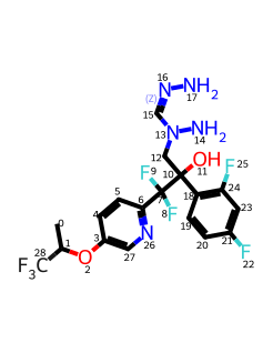 CC(Oc1ccc(C(F)(F)C(O)(CN(N)/C=N\N)c2ccc(F)cc2F)nc1)C(F)(F)F